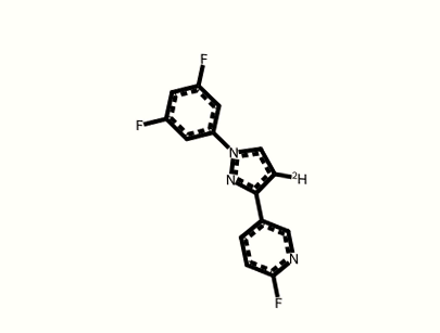 [2H]c1cn(-c2cc(F)cc(F)c2)nc1-c1ccc(F)nc1